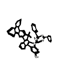 CC1(C)c2cc3c4ccccc4c4ccccc4c3cc2-c2c1c1c(c3ccccc23)c2cc(Br)ccc2n1-c1nc(-c2ccccc2)nc(-c2ccccc2)n1